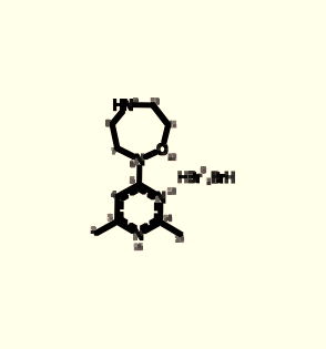 Br.Br.Cc1cc(N2CCNCCO2)nc(C)n1